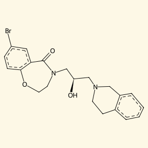 O=C1c2cc(Br)ccc2OCCN1C[C@H](O)CN1CCc2ccccc2C1